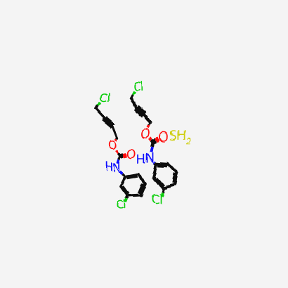 O=C(Nc1cccc(Cl)c1)OCC#CCCl.O=C(Nc1cccc(Cl)c1)OCC#CCCl.S